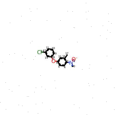 C=[N+]([O-])c1ccc(Oc2cccc(Cl)c2)cc1C